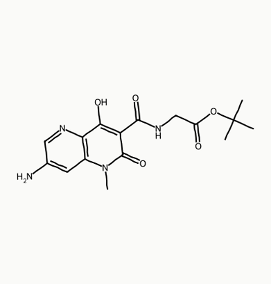 Cn1c(=O)c(C(=O)NCC(=O)OC(C)(C)C)c(O)c2ncc(N)cc21